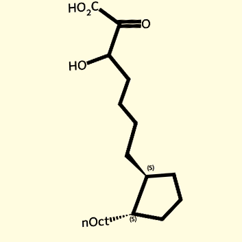 CCCCCCCC[C@H]1CCC[C@@H]1CCCCC(O)C(=O)C(=O)O